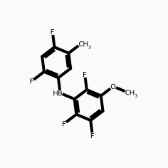 COc1cc(F)c(F)c(Bc2cc(C)c(F)cc2F)c1F